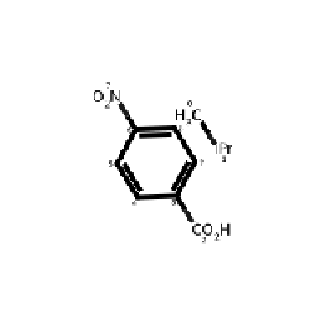 CC(C)C.O=C(O)c1ccc([N+](=O)[O-])cc1